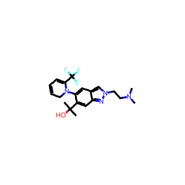 CN(C)CCn1cc2cc(N3CC=CC=C3C(F)(F)F)c(C(C)(C)O)cc2n1